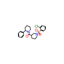 O=C(C1CCCN(S(=O)(=O)c2ccccc2Cl)C1)N1CCCCC1c1ccccc1